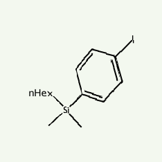 CCCCCC[Si](C)(C)c1ccc(I)cc1